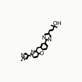 Cn1cc(-n2ccc(=O)c(Cc3cccc(-c4ncc(C=CC(C)(C)O)cn4)c3)n2)cn1